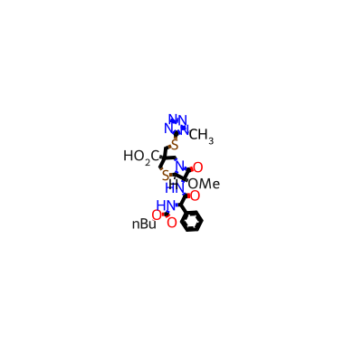 CCCCOC(=O)NC(C(=O)NC1(OC)C(=O)N2CC(CSc3nnnn3C)(C(=O)O)CS[C@@H]21)c1ccccc1